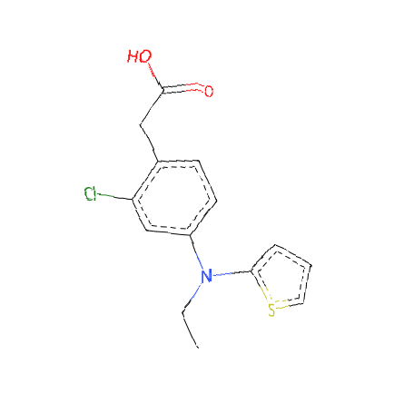 CCN(c1ccc(CC(=O)O)c(Cl)c1)c1cccs1